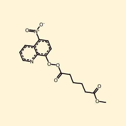 COC(=O)CCCCC(=O)OOc1ccc([N+](=O)[O-])c2cccnc12